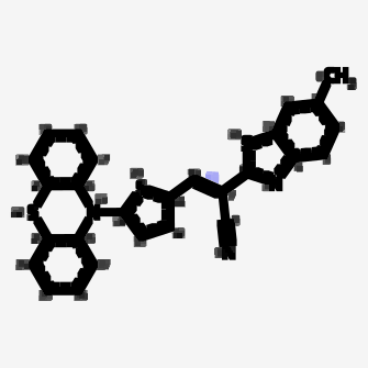 Cc1ccc2nc(/C(C#N)=C/c3ccc(N4c5ccccc5Sc5ccccc54)s3)sc2c1